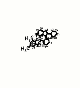 Cc1cc(C)c(NC(C)(C)c2ccccc2C2C(c3ccccc3)=Cc3ccccc32)c(C)c1